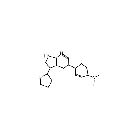 CN(C)C1C=CC(C2C=NC3NCC(C4CCCS4)C3C2)CC1